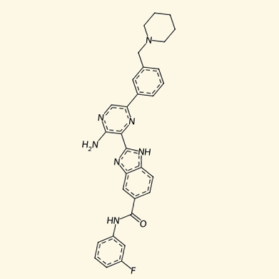 Nc1ncc(-c2cccc(CN3CCCCC3)c2)nc1-c1nc2cc(C(=O)Nc3cccc(F)c3)ccc2[nH]1